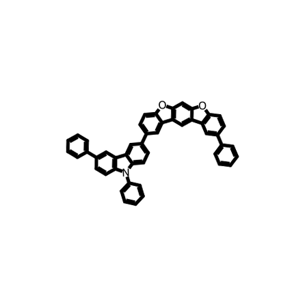 c1ccc(-c2ccc3oc4cc5oc6ccc(-c7ccc8c(c7)c7cc(-c9ccccc9)ccc7n8-c7ccccc7)cc6c5cc4c3c2)cc1